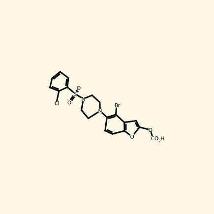 O=C(O)Oc1cc2c(Br)c(N3CCN(S(=O)(=O)c4ccccc4Cl)CC3)ccc2o1